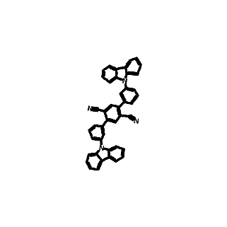 N#Cc1cc(-c2cccc(-n3c4ccccc4c4ccccc43)c2)c(C#N)cc1-c1cccc(-n2c3ccccc3c3ccccc32)c1